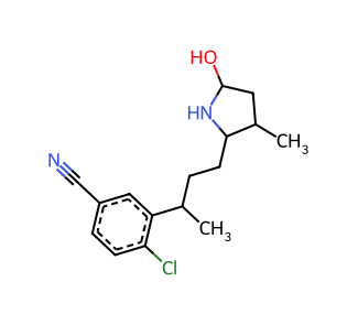 CC(CCC1NC(O)CC1C)c1cc(C#N)ccc1Cl